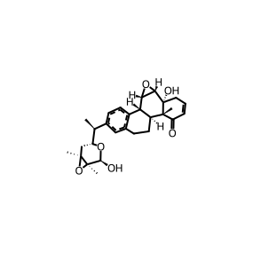 C[C@@H](c1ccc2c(c1)CC[C@H]1[C@H]2[C@@H]2O[C@@H]2[C@@]2(O)CC=CC(=O)[C@]12C)[C@H]1C[C@]2(C)O[C@]2(C)[C@H](O)O1